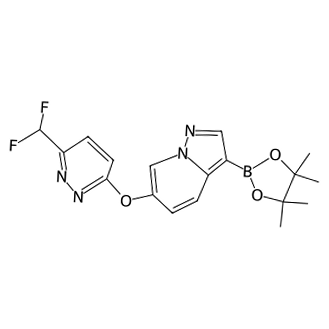 CC1(C)OB(c2cnn3cc(Oc4ccc(C(F)F)nn4)ccc23)OC1(C)C